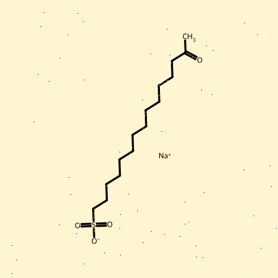 CC(=O)CCCCCCCCCCCCCS(=O)(=O)[O-].[Na+]